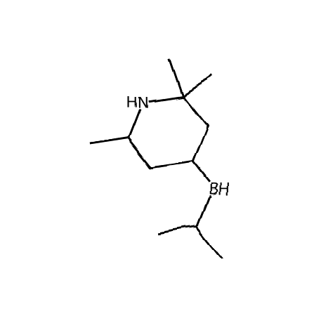 CC(C)BC1CC(C)NC(C)(C)C1